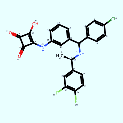 C[C@@H](NC(c1ccc(Cl)cc1)c1cccc(Nc2c(O)c(=O)c2=O)c1)c1ccc(F)c(F)c1